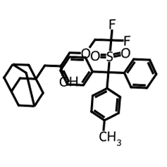 Cc1ccc(C(c2ccccc2)(c2ccccc2)S(=O)(=O)C(F)(F)COCC(O)CC23CC4CC(CC(C4)C2)C3)cc1